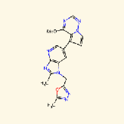 COc1ncnn2ccc(-c3cnc4nc(C)n(Cc5nnc(C)o5)c4c3)c12